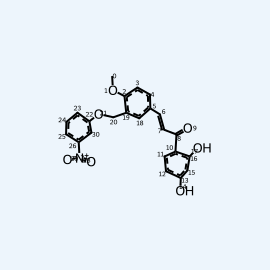 COc1ccc(/C=C/C(=O)c2ccc(O)cc2O)cc1COc1cccc([N+](=O)[O-])c1